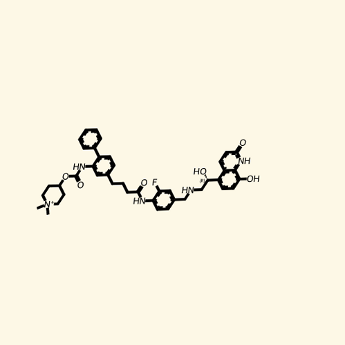 C[N+]1(C)CCC(OC(=O)Nc2cc(CCCC(=O)Nc3ccc(CNC[C@H](O)c4ccc(O)c5[nH]c(=O)ccc45)cc3F)ccc2-c2ccccc2)CC1